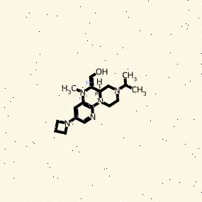 CC(C)N1CCN2c3ncc(N4CCC4)cc3N(C)/C(=C/O)[C@H]2C1